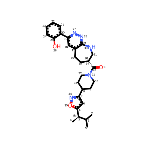 CC(C)[C@@H](C)c1cc(C2CCN(C(=O)[C@@H]3CCc4cc(-c5ccccc5O)nnc4NC3)CC2)no1